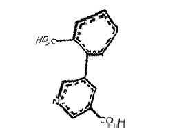 O=C(O)c1cncc(-c2ccccc2C(=O)O)c1